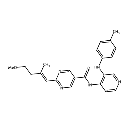 COCC/C(C)=C/c1ncc(C(=O)Nc2ccncc2Nc2ccc(C)cc2)cn1